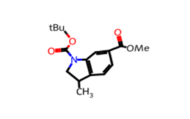 COC(=O)c1ccc2c(c1)N(C(=O)OC(C)(C)C)CC2C